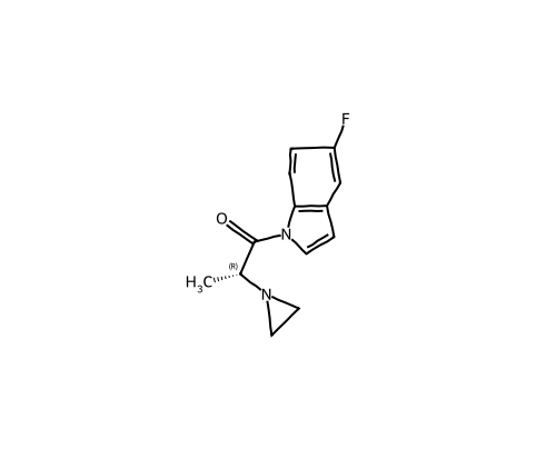 C[C@H](C(=O)n1ccc2cc(F)ccc21)N1CC1